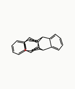 c1ccc2c(c1)C1c3ccccc3C2c2cc3ccccc3cc21